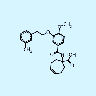 COc1ccc(C(=O)NC2(C(=O)O)CCC=CCC2)cc1OCCc1cccc(C)c1